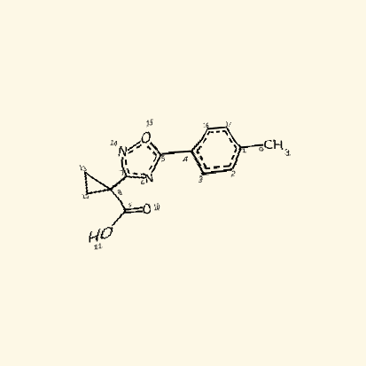 Cc1ccc(-c2nc(C3(C(=O)O)CC3)no2)cc1